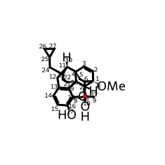 CO[C@@]12C=C[C@@]3(CC1C(C)(C)O)[C@H]1Cc4ccc(O)c5c4[C@@]3(CCC1CC1CC1)[C@H]2O5